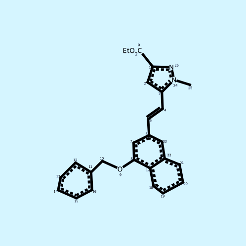 CCOC(=O)c1cc(C=Cc2cc(OCc3ccccc3)c3ccccc3c2)n(C)n1